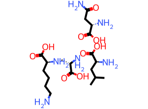 CC(C)C[C@H](N)C(=O)O.C[C@H](N)C(=O)O.NC(=O)C[C@H](N)C(=O)O.NCCCC[C@H](N)C(=O)O